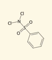 O=S(=O)(c1ccccc1)N(Cl)Cl